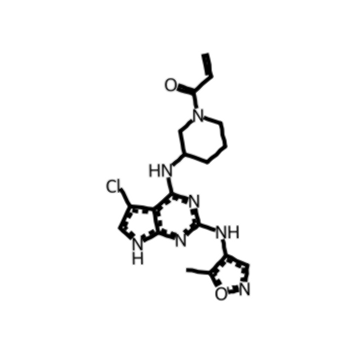 C=CC(=O)N1CCCC(Nc2nc(Nc3cnoc3C)nc3[nH]cc(Cl)c23)C1